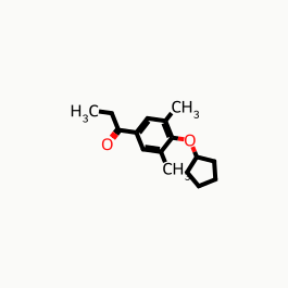 CCC(=O)c1cc(C)c(OC2CCCC2)c(C)c1